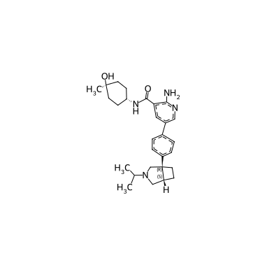 CC(C)N1C[C@H]2CC[C@@]2(c2ccc(-c3cnc(N)c(C(=O)N[C@H]4CC[C@](C)(O)CC4)c3)cc2)C1